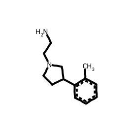 Cc1ccccc1C1CCN(CCN)C1